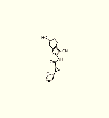 N#Cc1c(NC(=O)C2CC2c2ccco2)sc2c1CCC(O)C2